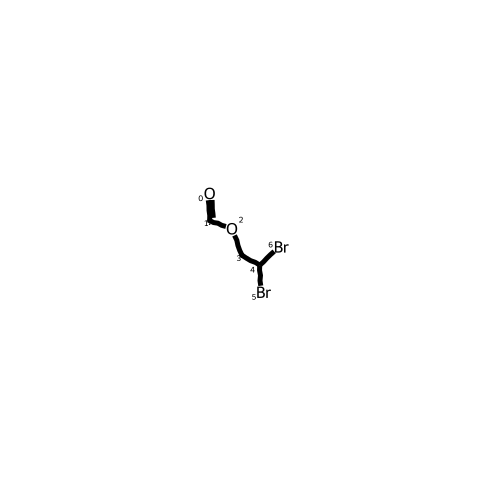 O=[C]OCC(Br)Br